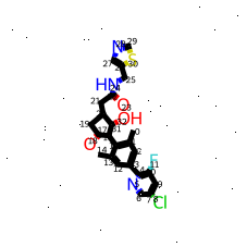 Cc1cc(-c2ncc(Cl)cc2F)cc(C)c1C1C(=O)CC(CC(=O)NCc2cncs2)C1O